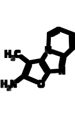 Cc1c(N)oc2nc3ccccn3c12